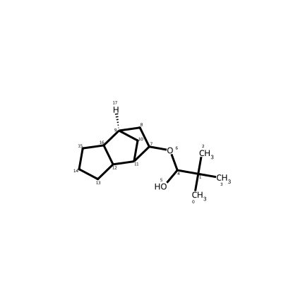 CC(C)(C)C(O)OC1C[C@H]2CC1C1CCCC12